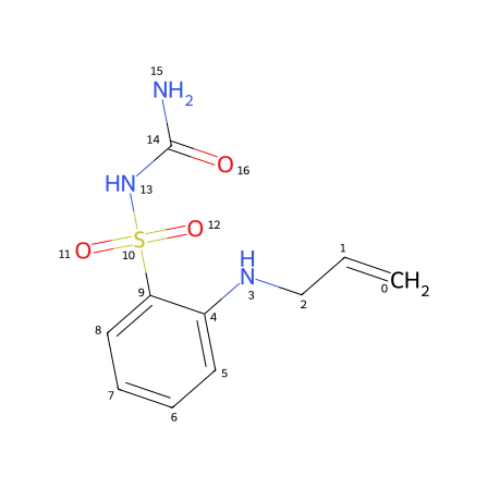 C=CCNc1ccccc1S(=O)(=O)NC(N)=O